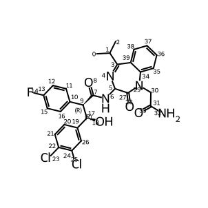 CC(C)C1=NC(NC(=O)[C@H](c2ccc(F)cc2)[C@@H](O)c2ccc(Cl)c(Cl)c2)C(=O)N(CC(N)=O)c2ccccc21